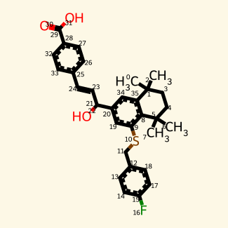 CC1(C)CCC(C)(C)c2c(SCc3ccc(F)cc3)cc(C(O)/C=C/c3ccc(C(=O)O)cc3)cc21